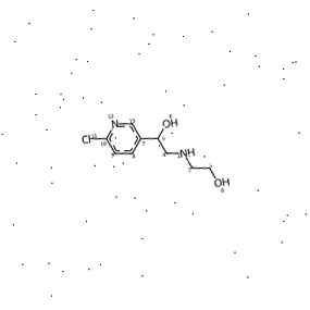 OCCNCC(O)c1ccc(Cl)nc1